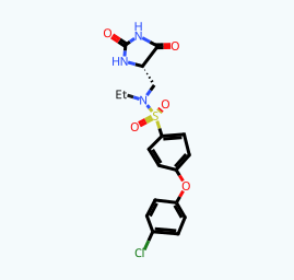 CCN(C[C@@H]1NC(=O)NC1=O)S(=O)(=O)c1ccc(Oc2ccc(Cl)cc2)cc1